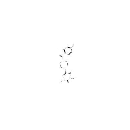 Cn1cc(N2CCN(C(=O)c3ccc(F)cc3C(F)(F)F)CC2)c(=O)n(C)c1=O